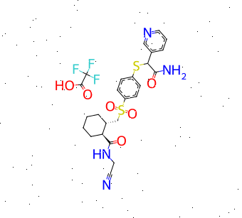 N#CCNC(=O)[C@H]1CCCC[C@@H]1CS(=O)(=O)c1ccc(SC(C(N)=O)c2cccnc2)cc1.O=C(O)C(F)(F)F